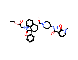 CCOC(=O)CNC(=O)[C@@]1(c2ccccc2)CC[C@H](C(=O)N2CCC(NC(=O)c3cccn(C)c3=O)CC2)c2ccccc21